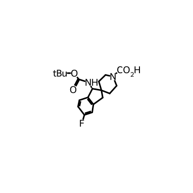 CC(C)(C)OC(=O)N[C@@H]1c2ccc(F)cc2CC12CCN(C(=O)O)CC2